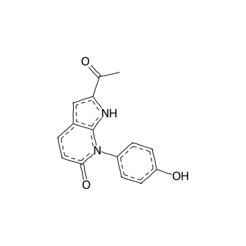 CC(=O)c1cc2ccc(=O)n(-c3ccc(O)cc3)c2[nH]1